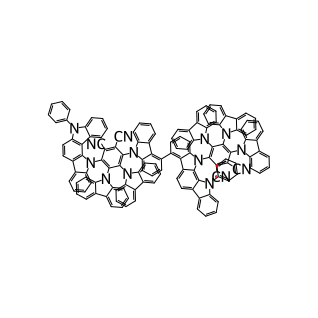 N#Cc1c(C#N)c(-n2c3cccc(-c4cccc5c4c4ccccc4n5-c4c(C#N)c(C#N)c(-n5c6ccccc6c6ccc7c(c8ccccc8n7-c7ccccc7)c65)c(-n5c6ccccc6c6ccccc65)c4-n4c5ccccc5c5ccccc54)c3c3ccc4c5ccccc5n(-c5ccccc5)c4c32)c(-n2c3ccccc3c3ccccc32)c(-n2c3ccccc3c3ccccc32)c1-n1c2ccccc2c2ccccc21